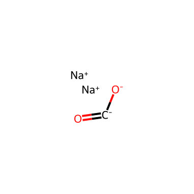 O=[C-][O-].[Na+].[Na+]